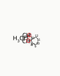 CC(C)(C)C(=O)OC1C=CCCCC1